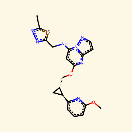 COc1cccc([C@H]2C[C@@H]2COc2cc(NCc3nnc(C)s3)n3nccc3n2)n1